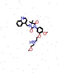 COCCNCCOc1cc(N2C(=O)N(Cc3ccnc4ccccc34)C(C)(C)C2=O)ccc1OC